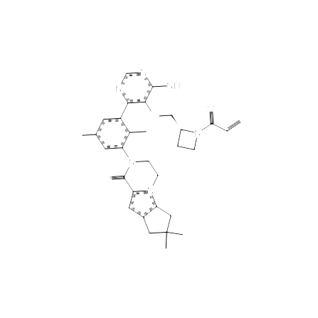 C=CC(=O)N1CC[C@H]1COc1c(N)ncnc1-c1cc(F)cc(N2CCn3c(cc4c3CC(C)(C)C4)C2=O)c1C